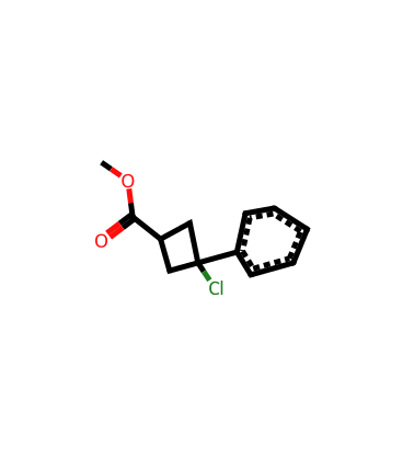 COC(=O)C1CC(Cl)(c2ccccc2)C1